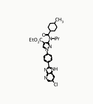 CCOC(=O)c1cn(-c2ccc(-c3nc4ncc(Cl)cc4[nH]3)cc2)nc1N(C(=O)C1CCC(C)CC1)C(C)C